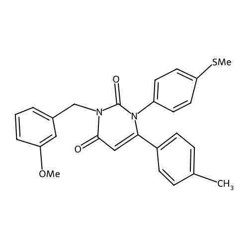 COc1cccc(Cn2c(=O)cc(-c3ccc(C)cc3)n(-c3ccc(SC)cc3)c2=O)c1